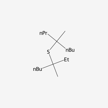 CCCCC(C)(CC)SC(C)(CCC)CCCC